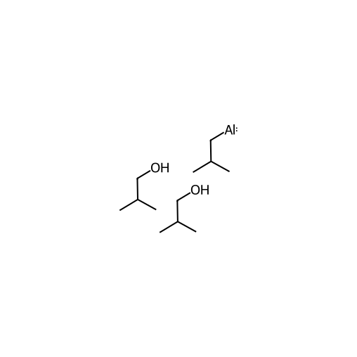 CC(C)CO.CC(C)CO.CC(C)[CH2][Al]